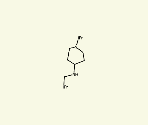 CC(C)CNC1CCN(C(C)C)CC1